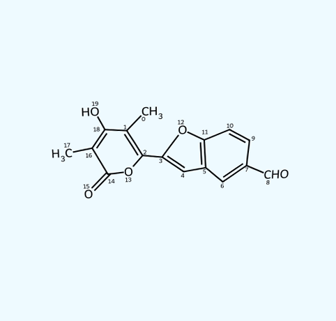 Cc1c(-c2cc3cc(C=O)ccc3o2)oc(=O)c(C)c1O